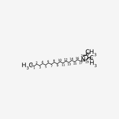 CCCCCCCCCCCCCCCCCCn1cc(C)c(C)c1